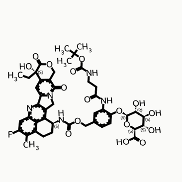 CC[C@@]1(O)C(=O)OCc2c1cc1n(c2=O)Cc2c-1nc1cc(F)c(C)c3c1c2[C@@H](NC(=O)OCc1ccc(O[C@@H]2O[C@H](C(=O)O)[C@@H](O)[C@H](O)[C@H]2O)c(NC(=O)CCNC(=O)OC(C)(C)C)c1)CC3